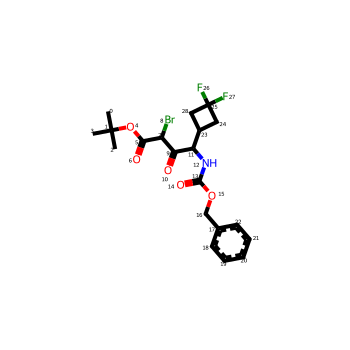 CC(C)(C)OC(=O)C(Br)C(=O)C(NC(=O)OCc1ccccc1)C1CC(F)(F)C1